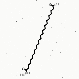 O=C(CCCCCCCCCCCCCCCCCCCCCCCCCC(=S)S)NO